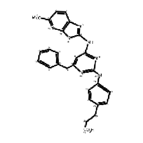 COc1ccc2nc(Nc3cc(Cc4ccccc4)nc(Nc4ccc(CCC(=O)O)cc4)n3)sc2n1